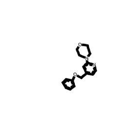 c1ccc(OCc2ccnc(N3CCOCC3)c2)cc1